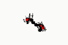 CCN(CC)[C@@H](C(=O)N1[C@@H]2C[C@@H]2C[C@H]1c1nc2cc(-c3ccc4cc(-c5ccc6nc([C@@H]7C[C@H]8C[C@H]8N7C(=O)[C@@H](c7ccccc7)N(CC)CC)[nH]c6c5)ccc4c3)ccc2[nH]1)c1ccccc1